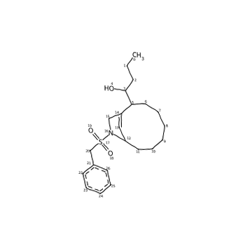 CCCC(O)C1CCCCCCC2C=C1CN2S(=O)(=O)Cc1ccccc1